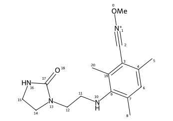 CO[N+]#Cc1c(C)cc(C)c(NCCN2CCNC2=O)c1C